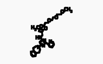 CCOCCOCCOCCC(=O)O[C@]1(C)C[C@@H](CNc2cc(N3CCc4ccccc4CC3)nc(-c3ccccn3)n2)C1